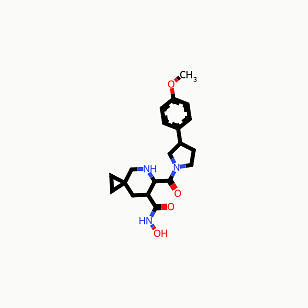 COc1ccc(C2CCN(C(=O)C3NCC4(CC4)CC3C(=O)NO)C2)cc1